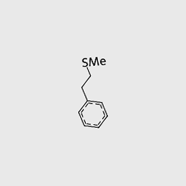 CSCCc1ccccc1